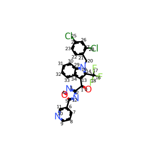 O=C(c1noc(-c2cccnc2)n1)c1c(C(F)(F)F)n(Cc2ccc(Cl)cc2Cl)c2ccccc12